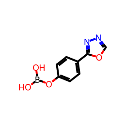 OB(O)Oc1ccc(-c2nnco2)cc1